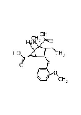 CCC1C(Sc2ccccc2OC)C2C(C(=O)O)C2(CC)C1(N)C(=O)O